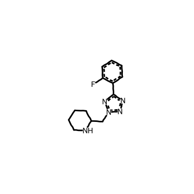 Fc1ccccc1-c1nnn(CC2CCCCN2)n1